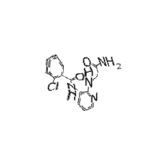 NC(=O)CNc1ncccc1NC(=O)c1ccccc1Cl